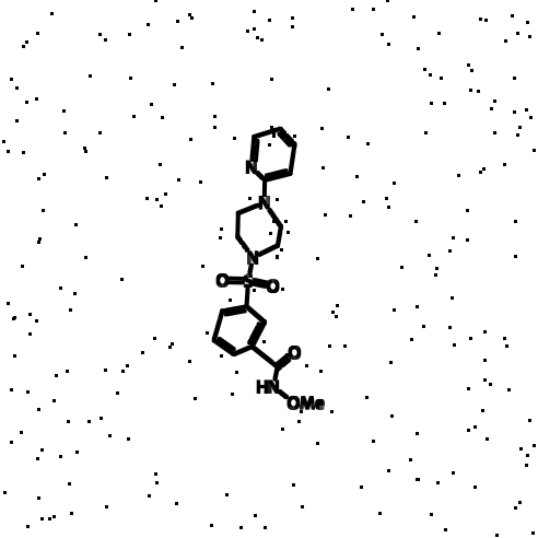 CONC(=O)c1cccc(S(=O)(=O)N2CCN(c3ccccn3)CC2)c1